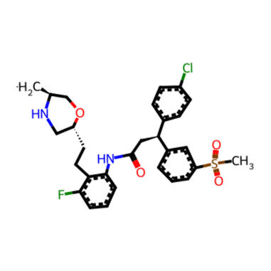 [CH2][C@H]1CO[C@H](CCc2c(F)cccc2NC(=O)C[C@@H](c2ccc(Cl)cc2)c2cccc(S(C)(=O)=O)c2)CN1